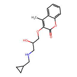 Cc1c(OCC(O)CNCC2CC2)c(=O)oc2ccccc12